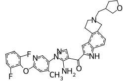 Cc1cc(Oc2c(F)cccc2F)ncc1-n1ncc(C(=O)c2cc3c4c(ccc3[nH]2)CN(CC2CCOC2)CC4)c1N